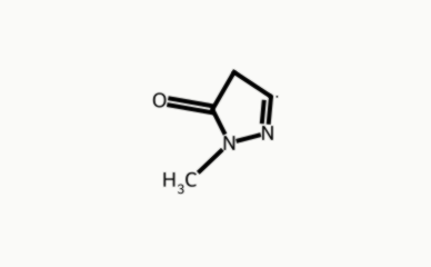 CN1N=[C]CC1=O